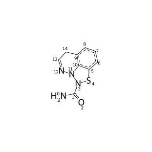 NC(=O)N1Sc2cccc3c2N1N=CC3